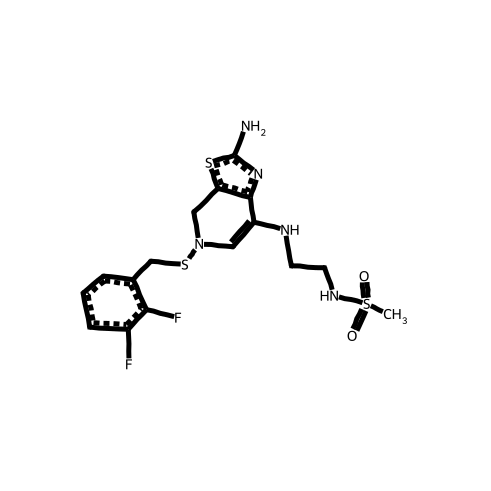 CS(=O)(=O)NCCNC1=CN(SCc2cccc(F)c2F)Cc2sc(N)nc21